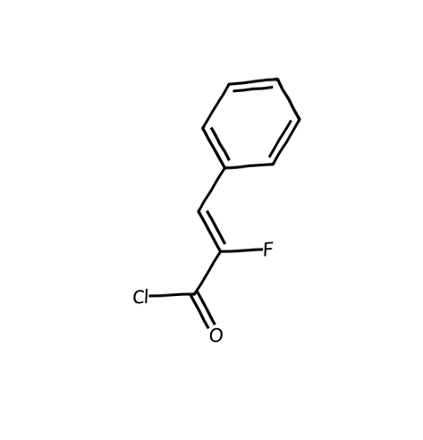 O=C(Cl)/C(F)=C/c1ccccc1